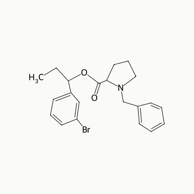 CCC(OC(=O)C1CCCN1Cc1ccccc1)c1cccc(Br)c1